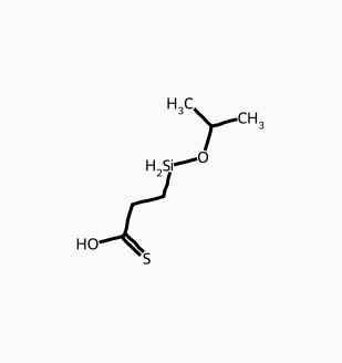 CC(C)O[SiH2]CCC(O)=S